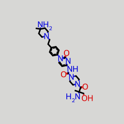 CC1(N)CCN(CCc2ccc(-n3ccc(NC(=O)N4CCN(C(=O)C(C)(N)CO)CC4)nc3=O)cc2)CC1